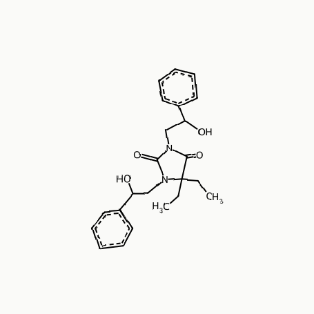 CCC1(CC)C(=O)N(CC(O)c2ccccc2)C(=O)N1CC(O)c1ccccc1